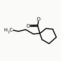 CCCCC1(C([O])=O)CCCCC1